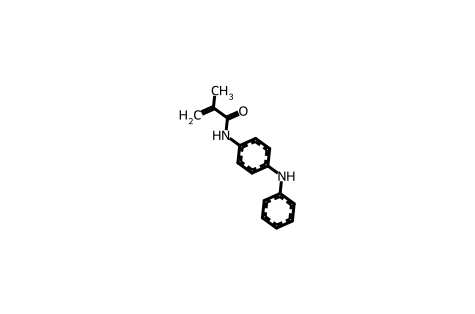 C=C(C)C(=O)Nc1ccc(Nc2ccccc2)cc1